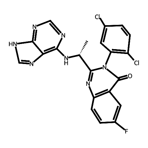 C[C@@H](Nc1ncnc2[nH]cnc12)c1nc2ccc(F)cc2c(=O)n1-c1cc(Cl)ccc1Cl